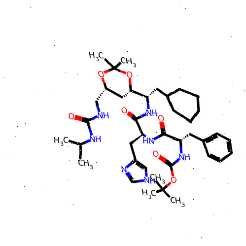 CC(C)NC(=O)NC[C@H]1C[C@@H]([C@H](CC2CCCCC2)NC(=O)[C@H](Cc2c[nH]cn2)NC(=O)[C@H](Cc2ccccc2)NC(=O)OC(C)(C)C)OC(C)(C)O1